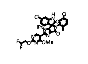 COc1nc(OCC(F)F)ncc1-c1nc2c(n1C(C)C)C1(C(=O)Nc3cc(Cl)ccc31)N(c1cc(Cl)ccc1C)C2=O